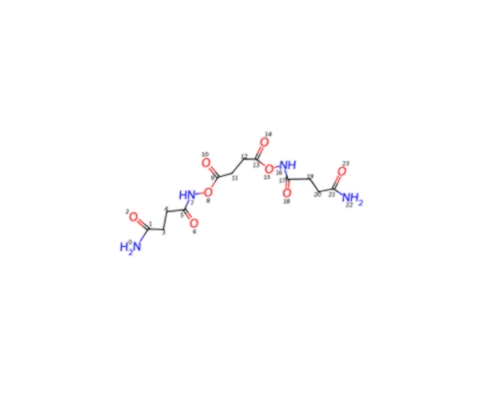 NC(=O)CCC(=O)NOC(=O)CCC(=O)ONC(=O)CCC(N)=O